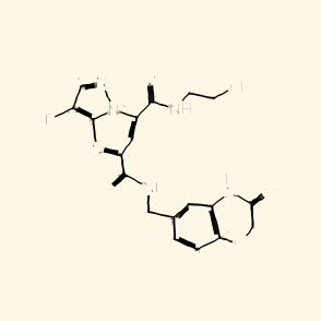 CCCNC(=O)c1cc(C(=O)NCc2ccc3c(c2)NC(=O)CO3)nc2c(F)cnn12